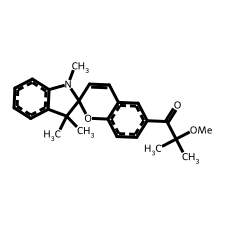 COC(C)(C)C(=O)c1ccc2c(c1)C=CC1(O2)N(C)c2ccccc2C1(C)C